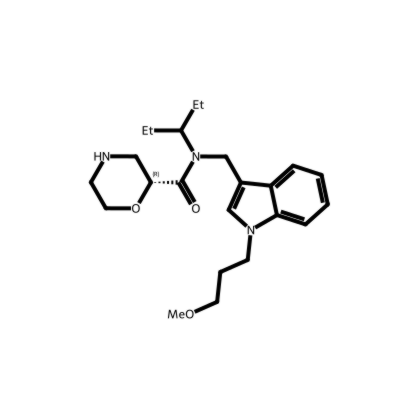 CCC(CC)N(Cc1cn(CCCOC)c2ccccc12)C(=O)[C@H]1CNCCO1